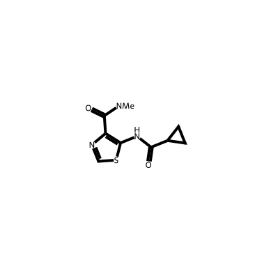 CNC(=O)c1ncsc1NC(=O)C1CC1